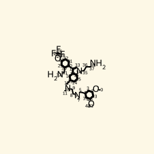 COc1cc(CN(C)CCN(C)Cc2ccc3c(c2)c(-c2ccc(OC(F)(F)F)cc2CN)cn3CCCN)cc(OC)c1